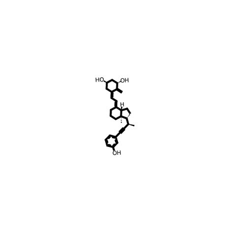 C=C1/C(=C\C=C2/CCC[C@]3(C)[C@@H]([C@@H](C)C#Cc4cccc(O)c4)CC[C@@H]23)C[C@@H](O)C[C@@H]1O